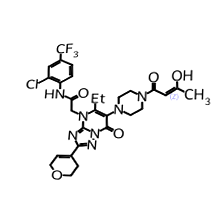 CCc1c(N2CCN(C(=O)/C=C(/C)O)CC2)c(=O)n2nc(C3=CCOCC3)nc2n1CC(=O)Nc1ccc(C(F)(F)F)cc1Cl